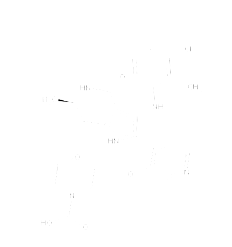 Cc1c(Cl)cccc1Nc1c(-c2ccncc2OC[C@@H]2CN(C(=O)O)CCO2)[nH]c2c1C(=O)N[C@H](C)C2